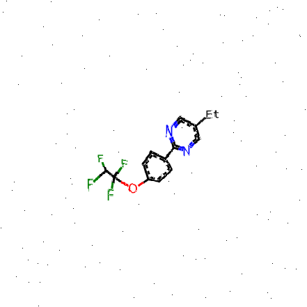 CCc1cnc(-c2ccc(OC(F)(F)C(F)F)cc2)nc1